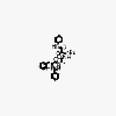 CCCC[C@H](NC(=O)[C@H](C)NC(=O)[C@@H](Cc1ccccc1)NC(=O)c1ccccc1)C(=O)C(=O)NC1CCCCC1